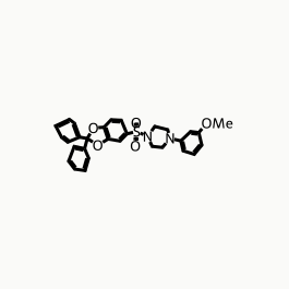 COc1cccc(N2CCN(S(=O)(=O)c3ccc4c(c3)OC(c3ccccc3)(c3ccccc3)O4)CC2)c1